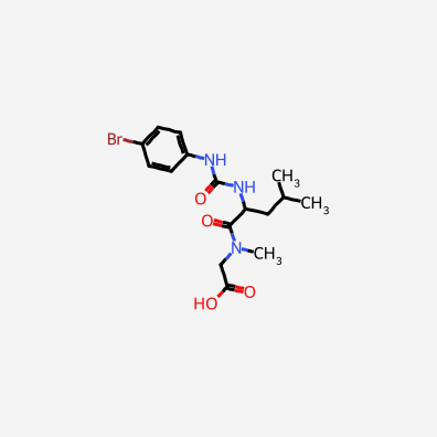 CC(C)CC(NC(=O)Nc1ccc(Br)cc1)C(=O)N(C)CC(=O)O